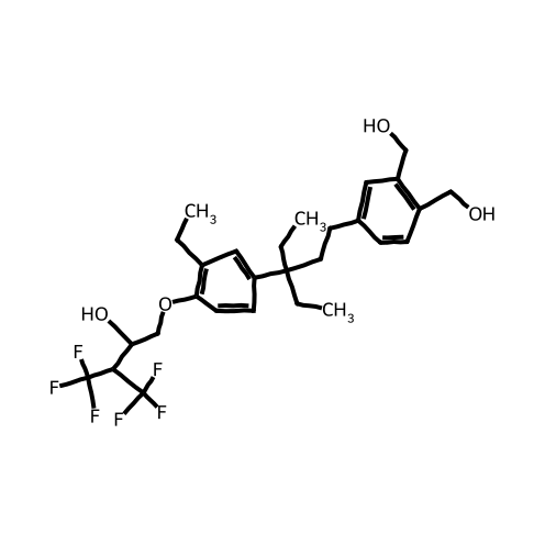 CCc1cc(C(CC)(CC)CCc2ccc(CO)c(CO)c2)ccc1OCC(O)C(C(F)(F)F)C(F)(F)F